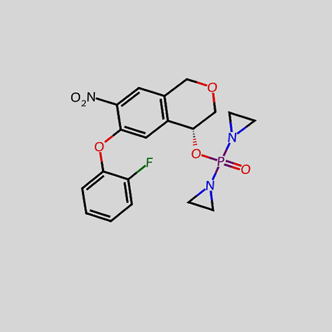 O=[N+]([O-])c1cc2c(cc1Oc1ccccc1F)[C@@H](OP(=O)(N1CC1)N1CC1)COC2